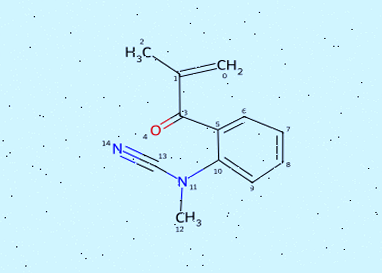 C=C(C)C(=O)c1ccccc1N(C)C#N